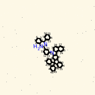 Nc1ccccc1/C(=N\Cc1cccc(-n2c3cc4c(cc3c3c5ccccc5ccc32)-c2ccccc2C4(c2ccccc2)c2ccccc2)c1)c1ccccc1